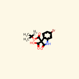 CC(C)(C)OC(=O)C1(C(=O)O)C(=O)Nc2cc(Br)ccc21